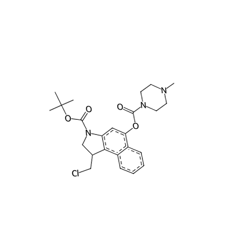 CN1CCN(C(=O)Oc2cc3c(c4ccccc24)C(CCl)CN3C(=O)OC(C)(C)C)CC1